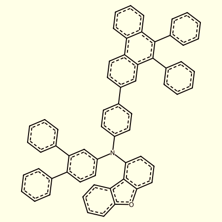 c1ccc(-c2ccc(N(c3ccc(-c4ccc5c(c4)c(-c4ccccc4)c(-c4ccccc4)c4ccccc45)cc3)c3cccc4oc5ccccc5c34)cc2-c2ccccc2)cc1